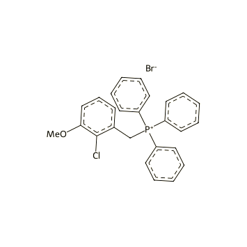 COc1cccc(C[P+](c2ccccc2)(c2ccccc2)c2ccccc2)c1Cl.[Br-]